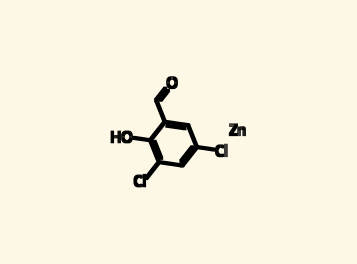 O=Cc1cc(Cl)cc(Cl)c1O.[Zn]